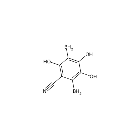 Bc1c(O)c(O)c(B)c(C#N)c1O